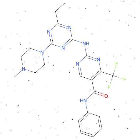 CCc1nc(Nc2ncc(C(=O)Nc3ccccc3)c(C(F)(F)F)n2)nc(N2CCN(C)CC2)n1